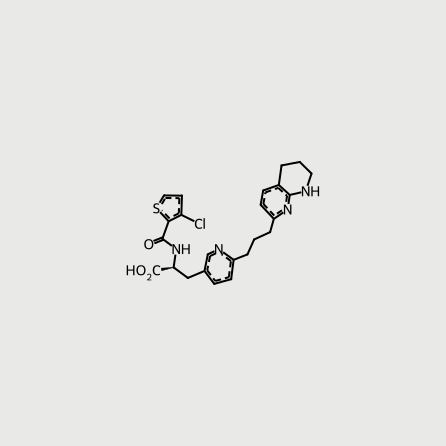 O=C(N[C@@H](Cc1ccc(CCCc2ccc3c(n2)NCCC3)nc1)C(=O)O)c1sccc1Cl